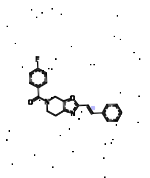 O=C(c1ccc(F)cc1)N1CCc2nc(/C=C/c3ccccc3)oc2C1